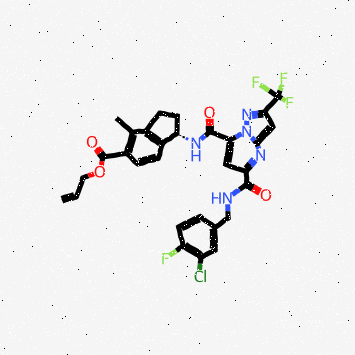 C=CCOC(=O)c1ccc2c(c1C)CC[C@@H]2NC(=O)c1cc(C(=O)NCc2ccc(F)c(Cl)c2)nc2cc(C(F)(F)F)nn12